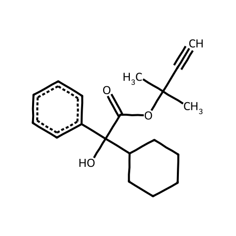 C#CC(C)(C)OC(=O)C(O)(c1ccccc1)C1CCCCC1